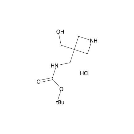 CC(C)(C)OC(=O)NCC1(CO)CNC1.Cl